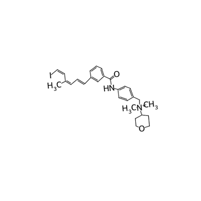 CC(/C=C\I)=C/C=C/c1cccc(C(=O)Nc2ccc(C[N+](C)(C)C3CCOCC3)cc2)c1